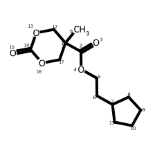 CC1(C(=O)OCCC2CCCC2)COC(=O)OC1